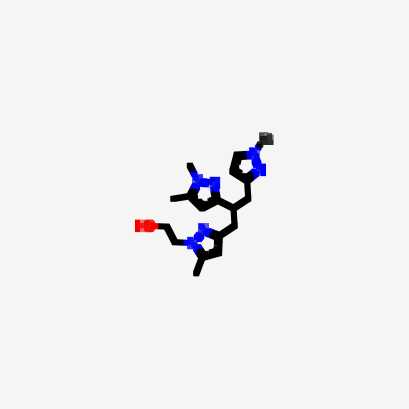 CCn1ccc(CC(Cc2cc(C)n(CCO)n2)c2cc(C)n(C)n2)n1